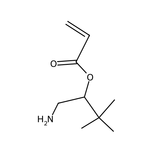 C=CC(=O)OC(CN)C(C)(C)C